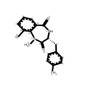 Cc1ccc(C[C@H]2NC(=O)c3cccc(Cl)c3N(C)C2=O)cc1